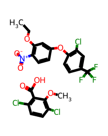 CCOc1cc(Oc2ccc(C(F)(F)F)cc2Cl)ccc1[N+](=O)[O-].COc1c(Cl)ccc(Cl)c1C(=O)O